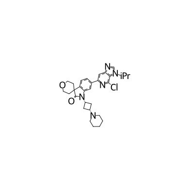 CC(C)n1cnc2cc(-c3ccc4c(c3)N([C@H]3C[C@@H](N5CCCCC5)C3)C(=O)C43CCOCC3)nc(Cl)c21